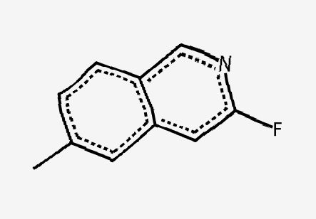 Cc1ccc2cnc(F)cc2c1